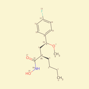 CCCC[C@H](C[C@H](OC)c1ccc(F)cc1)C(=O)NO